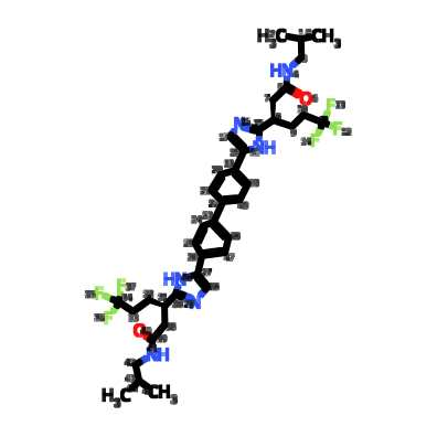 CC(C)CNC(=O)C[C@@H](CCC(F)(F)F)c1ncc(-c2ccc(-c3ccc(-c4cnc([C@H](CCC(F)(F)F)CC(=O)NCC(C)C)[nH]4)cc3)cc2)[nH]1